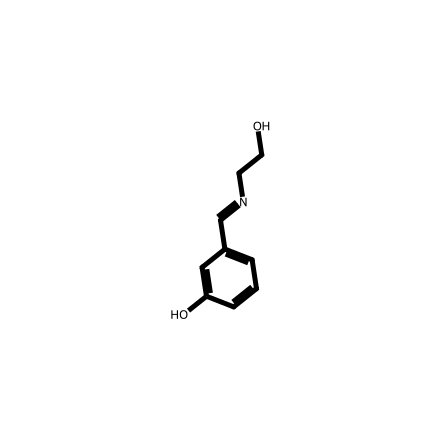 OCC/N=C/c1cccc(O)c1